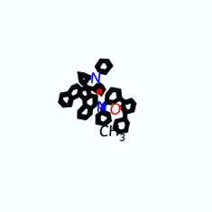 Cc1ccc(N(c2cc3c(c4ccccc24)-c2c(ccc4ccccc24)C32c3ccccc3N(c3ccccc3)c3ccccc32)c2cccc3c2oc2c(C4CCCCC4)cccc23)cc1